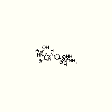 CC(C)[C@H](CO)Nc1nc(Nc2ccc(S(=O)(=O)NC(=N)N)cc2)ncc1Br